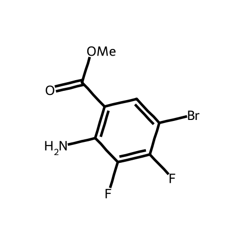 COC(=O)c1cc(Br)c(F)c(F)c1N